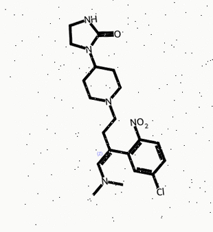 CN(C)/C=C(/CCN1CCC(N2CCNC2=O)CC1)c1cc(Cl)ccc1[N+](=O)[O-]